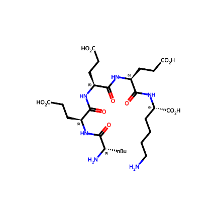 CCCC[C@H](N)C(=O)N[C@@H](CCC(=O)O)C(=O)N[C@@H](CCC(=O)O)C(=O)N[C@@H](CCC(=O)O)C(=O)N[C@@H](CCCCN)C(=O)O